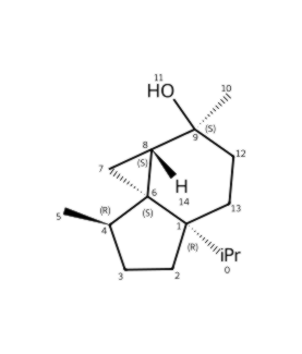 CC(C)[C@]12CC[C@@H](C)[C@]13C[C@@H]3[C@@](C)(O)CC2